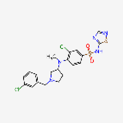 CN(c1ccc(S(=O)(=O)Nc2ncns2)cc1Cl)C1CCN(Cc2cccc(Cl)c2)C1